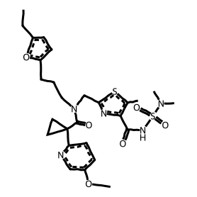 CCc1ccc(CCCN(Cc2nc(C(=O)NS(=O)(=O)N(C)C)c(C)s2)C(=O)C2(c3ccc(OC)cn3)CC2)o1